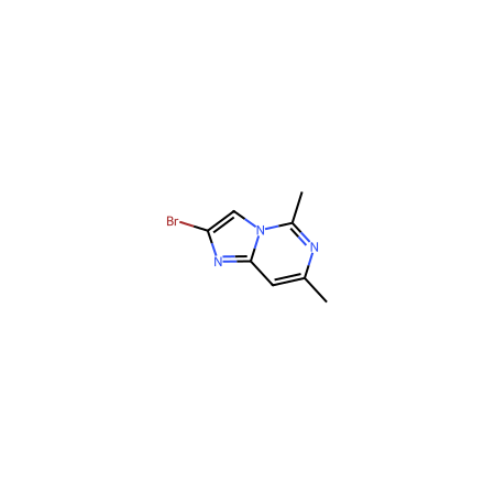 Cc1cc2nc(Br)cn2c(C)n1